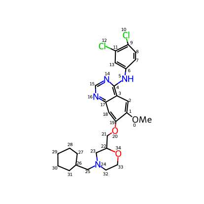 COc1cc2c(Nc3ccc(Cl)c(Cl)c3)ncnc2cc1OCC1CN(CC2CCCCC2)CCO1